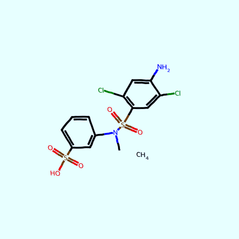 C.CN(c1cccc(S(=O)(=O)O)c1)S(=O)(=O)c1cc(Cl)c(N)cc1Cl